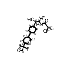 O=C(N[C@H](CF)[C@H](O)c1ccc(-c2ccc(C3(F)COC3)nc2)cc1)C(Cl)Cl